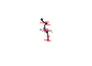 COc1cc(/C=C/COC(=O)CCCON(O)O)ccc1OC(=O)C(C)NC(=O)CCC/C=C\C[C@@H]1[C@@H](CC[C@@H](O)CCc2ccccc2)[C@H](O)C[C@@H]1O